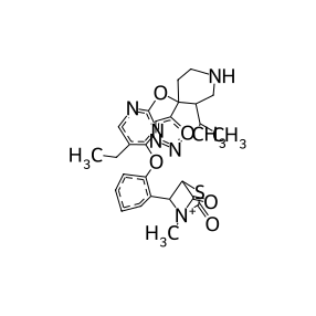 CCc1cnc(OC2(c3cnno3)CCNCC2C(C)C)nc1Oc1ccccc1C1C2SC(=O)[N+]1(C)C2=O